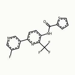 O=C(Nc1ccc(-c2cncc(F)c2)nc1C(F)(F)F)c1cccs1